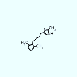 Cc1nc(CCCCCc2c(C)cccc2C)c[nH]1